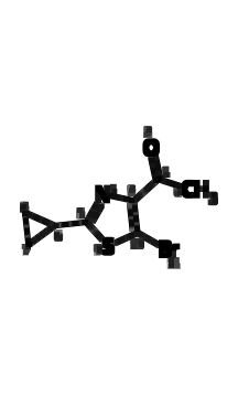 CC(=O)c1nc(C2CC2)sc1Br